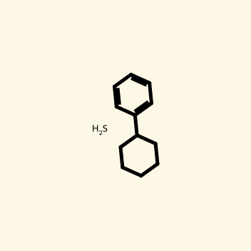 S.c1ccc(C2CCCCC2)cc1